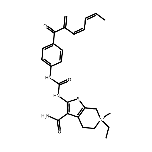 C=C(/C=C\C=C/C)C(=O)c1ccc(NC(=O)Nc2sc3c(c2C(N)=O)CC[N+](C)(CC)C3)cc1